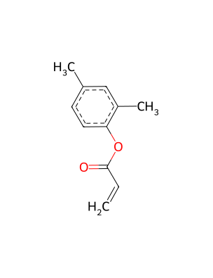 C=CC(=O)Oc1ccc(C)cc1C